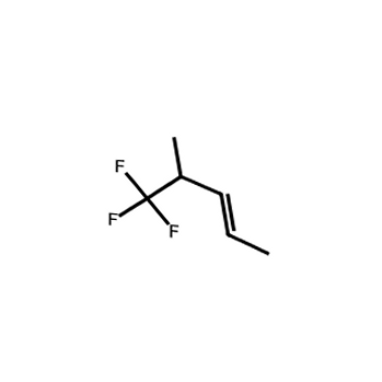 C/C=C/C(C)C(F)(F)F